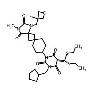 CCSC(SCC)=C1C(=O)N(CC2CCCC2)C(=O)N(C2CCC3(CC2)CC2(C3)C(=O)N(C)C(=O)N2CC2(F)COC2)C1=O